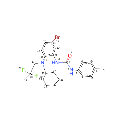 Cc1ccc(NC(=O)Nc2cc(Br)ccc2N(CC(C)(F)F)C2CCCCC2)cc1